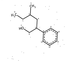 CCC(C)CC(CO)c1ccccc1